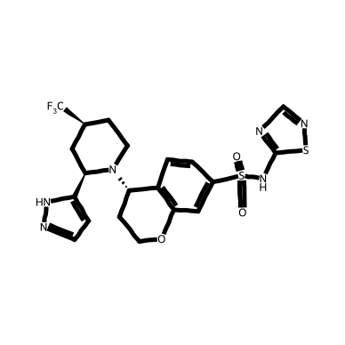 O=S(=O)(Nc1ncns1)c1ccc2c(c1)OCC[C@@H]2N1CC[C@H](C(F)(F)F)C[C@@H]1c1ccn[nH]1